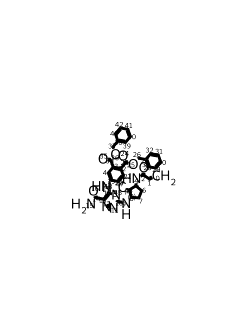 C=CC(=O)NC1CC[C@@H](Nc2nnc(C(N)=O)c(Nc3ccc(C(=O)OCc4ccccc4)c(C(=O)OCc4ccccc4)c3)n2)[C@H]1C